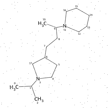 CC(C)N1CCC(CCC(C)N2CCCCC2)C1